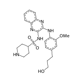 COc1cc(CCCO)ccc1Nc1nc2ccccc2nc1NS(=O)(=O)C1CCNCC1